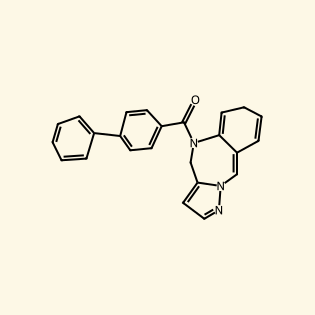 O=C(c1ccc(-c2ccccc2)cc1)N1Cc2ccnn2C=C2C=CCC=C21